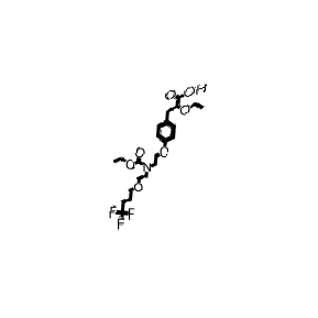 CCOC(=O)N(CCOCCCC(F)(F)F)CCOc1ccc(CC(OCC)C(=O)O)cc1